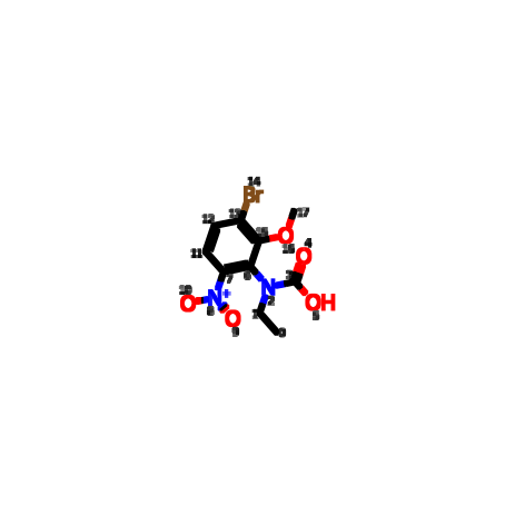 CCN(C(=O)O)c1c([N+](=O)[O-])ccc(Br)c1OC